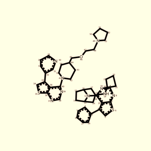 c1ccc(-c2csc3ncnc(N4C5CCC4CC(NC4CCC4)C5)c23)cc1.c1cncc(-c2csc3ncnc(N4CCC(COCCN5CCCC5)CC4)c23)c1